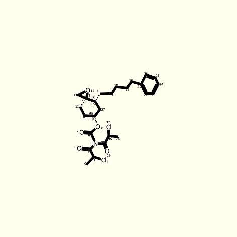 CC(Cl)C(=O)N(C(=O)O[C@@H]1CC[C@@]2(CO2)[C@H](CCCCCc2ccccc2)C1)C(=O)C(C)Cl